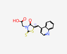 O=C(O)CN1C(=O)/C(=C/c2ccnc3ccccc23)SC1=S